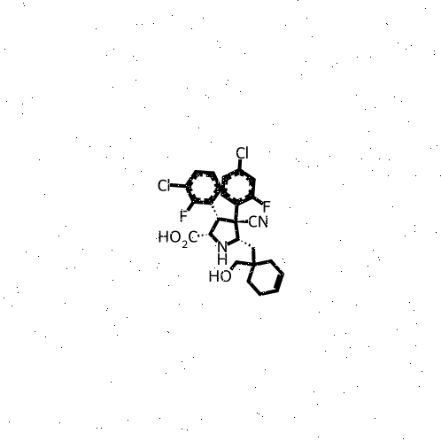 N#C[C@@]1(c2ccc(Cl)cc2F)[C@H](CC2(CO)CC=CCC2)N[C@H](C(=O)O)[C@@H]1c1cccc(Cl)c1F